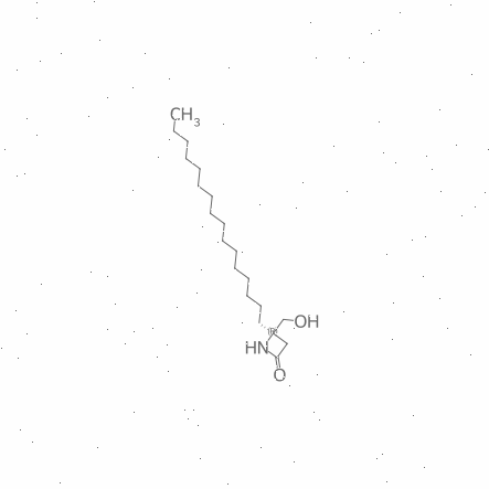 CCCCCCCCCCCCCCCC[C@]1(CO)CC(=O)N1